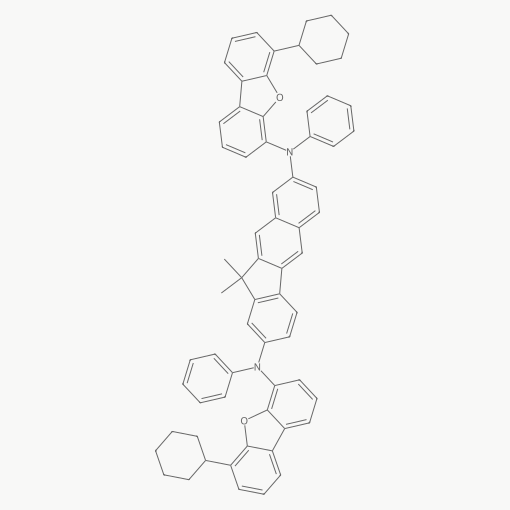 CC1(C)c2cc(N(c3ccccc3)c3cccc4c3oc3c(C5CCCCC5)cccc34)ccc2-c2cc3ccc(N(c4ccccc4)c4cccc5c4oc4c(C6CCCCC6)cccc45)cc3cc21